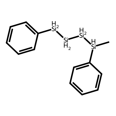 C[SiH]([SiH2][SiH2][SiH2]c1ccccc1)c1ccccc1